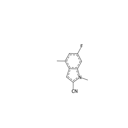 Cc1cc(F)cc2c1cc(C#N)n2C